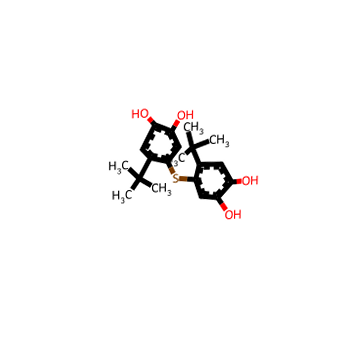 CC(C)(C)c1cc(O)c(O)cc1Sc1cc(O)c(O)cc1C(C)(C)C